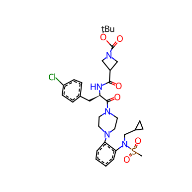 CC(C)(C)OC(=O)N1CC(C(=O)N[C@H](Cc2ccc(Cl)cc2)C(=O)N2CCN(c3ccccc3N(CC3CC3)S(C)(=O)=O)CC2)C1